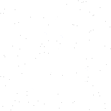 [C-]#[N+]c1ccc(-c2ccnc3ccc(C(=O)N=C(N)N)cc23)cc1